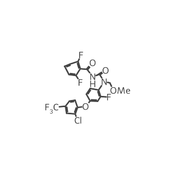 COCN(C(=O)NC(=O)c1c(F)cccc1F)c1ccc(Oc2ccc(C(F)(F)F)cc2Cl)cc1F